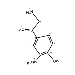 CC(=O)Nc1cc([C@@H](O)CN)ccc1O